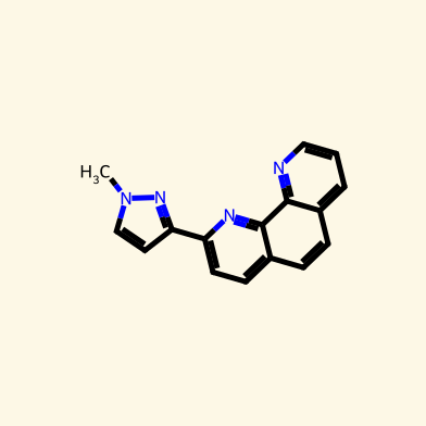 Cn1ccc(-c2ccc3ccc4cccnc4c3n2)n1